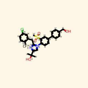 CC(C)(O)c1cn(-c2ccc(-c3ccc(CO)cc3)cc2S(C)(=O)=O)c(Cc2cc(Cl)ccc2C(F)(F)F)n1